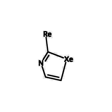 [Re][C]1=NC=C[Xe]1